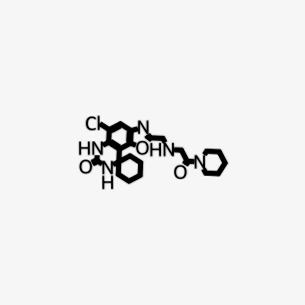 O=C1Nc2c(Cl)cc3nc(CNCC(=O)N4CCCCC4)oc3c2C2(CCCCC2)N1